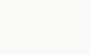 Cc1ccc(CCc2ccc(F)c(N)c2)cc1